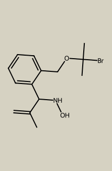 C=C(C)C(NO)c1ccccc1COC(C)(C)Br